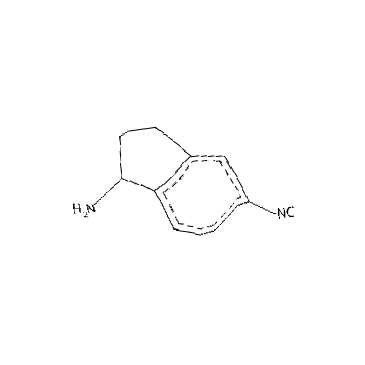 [C-]#[N+]c1ccc2c(c1)CCC2N